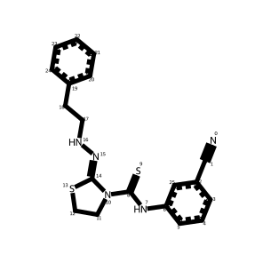 N#Cc1cccc(NC(=S)N2CCSC2=NNCCc2ccccc2)c1